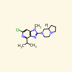 CC(C)c1nc(Cl)cc2c1nc(N1CCN3CCC[C@@H]3C1)n2C